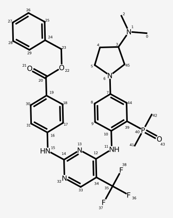 CN(C)C1CCN(c2ccc(Nc3nc(Nc4ccc(C(=O)OCc5ccccc5)cc4)ncc3C(F)(F)F)c(P(C)(C)=O)c2)C1